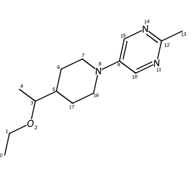 CCOC(C)C1CCN(c2cnc(C)nc2)CC1